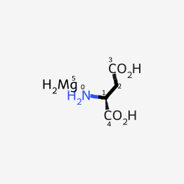 N[C@@H](CC(=O)O)C(=O)O.[MgH2]